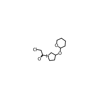 O=C(CCl)N1CCC(OC2CCCCO2)C1